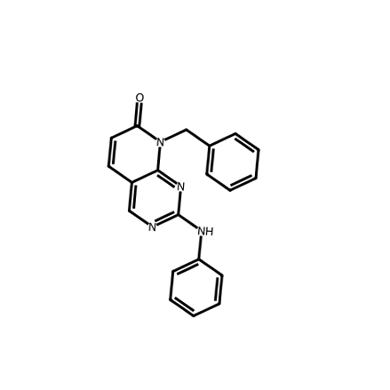 O=c1ccc2cnc(Nc3ccccc3)nc2n1Cc1ccccc1